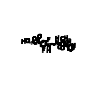 C[C@H](NC(=O)c1cccnc1)C(=O)NCCNc1c(F)cc(N2C[C@H](CO)OC2=O)cc1F